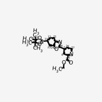 CCOC(=O)c1cc(-c2nc3ccc(B4OC(C)(C)C(C)(C)O4)cc3o2)ccn1